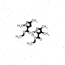 CCOC(=O)c1c(C)c(C)nn1C.CCOC(=O)c1cc(C)nn1C